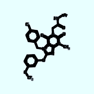 CCCNC(=O)Cn1c(=O)c2c(nc(Oc3cccc(OC(F)(F)F)c3)n2Cc2ccc(Cl)cc2)n(C)c1=O